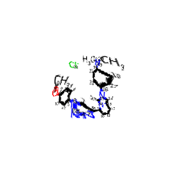 COc1ccc(-n2cc(-c3cccc4cn(-c5ccc(N(C)C)cc5)c[n+]34)nn2)cc1.[Cl-]